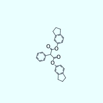 O=C(Oc1ccc2c(c1)CCC2)C(C(=O)Oc1ccc2c(c1)CCC2)c1ccccc1